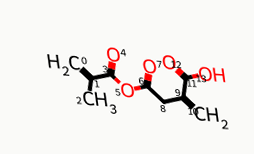 C=C(C)C(=O)OC(=O)CC(=C)C(=O)O